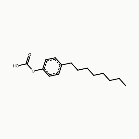 CCCCCCCCc1ccc(OC(=O)O)cc1